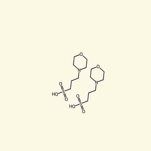 O=S(=O)(O)CCCN1CCOCC1.O=S(=O)(O)CCCN1CCOCC1